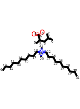 CC(C)CC(C)C(=O)[O-].CCCCCCCCCC[N+](C)(C)CCCCCCCCCC